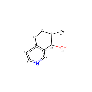 CC(C)C1CCc2ccncc2C1O